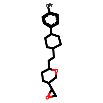 CCCc1ccc(C2CCC(CCC3CCC(C4CO4)CO3)CC2)cc1